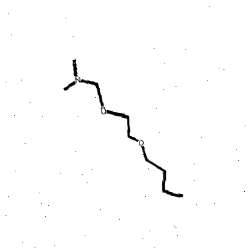 CCCCOCCOCN(C)C